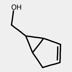 OCC1C2C=CCC21